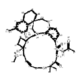 CO[C@H]1C=CCOC(C)(C)C(=O)N=[S@@](=O)(NC(C)=O)c2ccc3c(c2)N(C[C@@H]2CC[C@H]21)C[C@@]1(CCCc2cc(Cl)ccc21)CO3